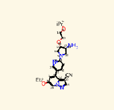 CCOc1cc(-c2ccc(N3C[C@H](OCCOC(C)C)[C@@H](N)C3)nc2)c2c(C#N)cnn2c1